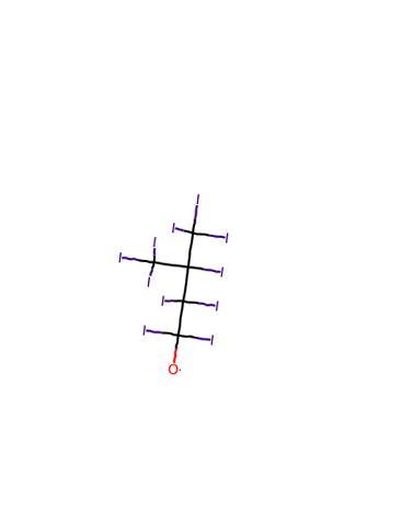 [O]C(I)(I)C(I)(I)C(I)(C(I)(I)I)C(I)(I)I